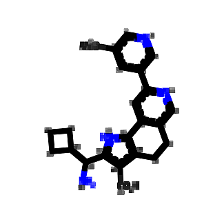 COc1cncc(-c2cc3c(cn2)CCc2c-3[nH]c(C(N)C3CCC3)c2C(=O)O)c1